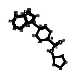 O=C(OC1CCCC1)N1CC=C(c2c[nH]c3ncccc23)CC1